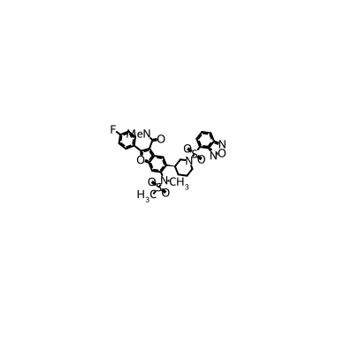 CNC(=O)c1c(-c2ccc(F)cc2)oc2cc(N(C)S(C)(=O)=O)c([C@@H]3CCCN(S(=O)(=O)c4cccc5nonc45)C3)cc12